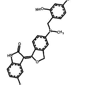 COc1ccc(CN(C)c2ccc3c(c2)COC3=C2C(=O)Nc3ccc(F)cc32)c(OC)c1